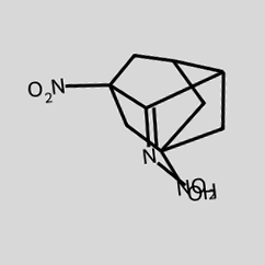 O=[N+]([O-])C12CC3CC([N+](=O)[O-])(C1)/C(=N/O)C3C2